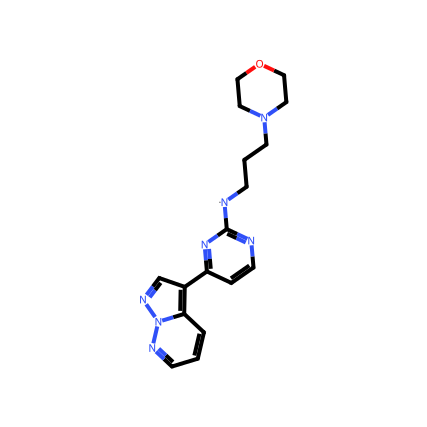 c1cnn2ncc(-c3ccnc([N]CCCN4CCOCC4)n3)c2c1